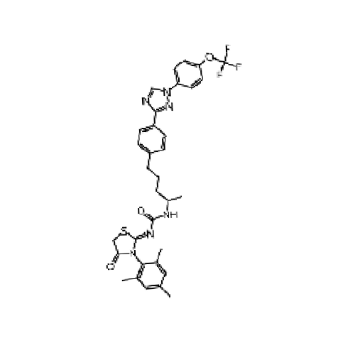 Cc1cc(C)c(N2C(=O)CS/C2=N\C(=O)NC(C)CCCc2ccc(-c3ncn(-c4ccc(OC(F)(F)F)cc4)n3)cc2)c(C)c1